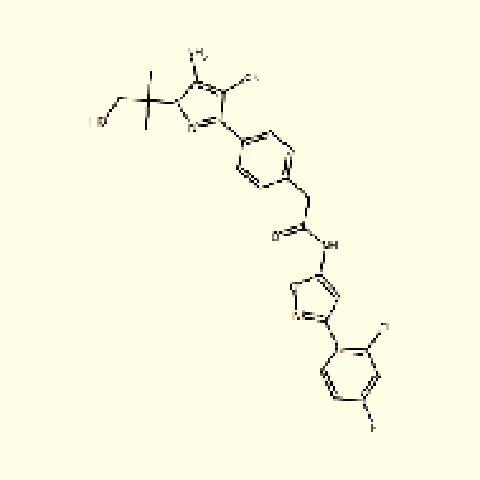 CC(C)(CO)n1nc(-c2ccc(CC(=O)Nc3cc(-c4ccc(F)cc4Cl)no3)cc2)c(C#N)c1N